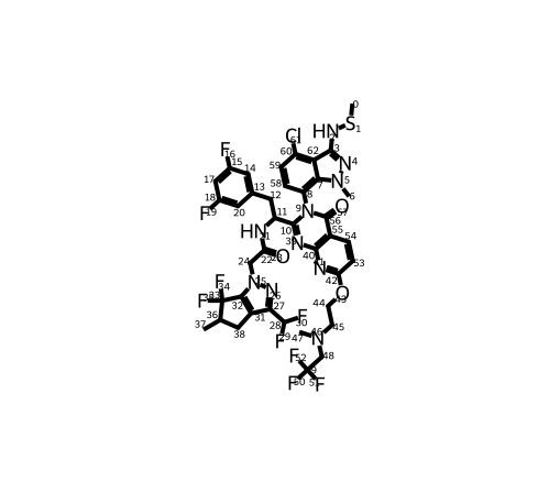 CSNc1nn(C)c2c(-n3c(C(Cc4cc(F)cc(F)c4)NC(=O)Cn4nc(C(F)F)c5c4C(F)(F)C(C)C5)nc4nc(OCCN(C)CC(F)(F)F)ccc4c3=O)ccc(Cl)c12